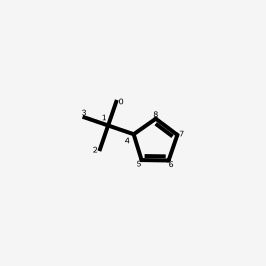 CC(C)(C)C1C=CC=C1